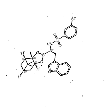 CC(=O)c1cccc(S(=O)(=O)N[C@@H](Cc2coc3ccccc23)B2O[C@@H]3C[C@@H]4C[C@@H](C4(C)C)[C@]3(C)O2)c1